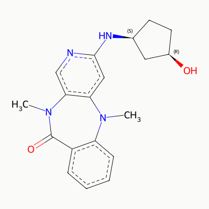 CN1C(=O)c2ccccc2N(C)c2cc(N[C@H]3CC[C@@H](O)C3)ncc21